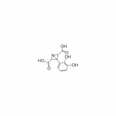 O=C(O)C1N2C(C(=O)O)C12c1cccc(O)c1O